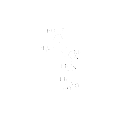 CCc1cc(O)c(F)cc1-c1ccc2c(-c3nc4c([nH]3)CN[C@H](C(=O)O)C4)n[nH]c2c1